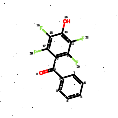 O=C(c1ccccc1)c1c(F)c(F)c(O)c(F)c1F